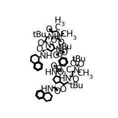 C[C@@H](C(=O)N[C@H](C(=O)C1C[C@@H](NS(=O)(=O)c2cccc(S(=O)(=O)N[C@H]3C[C@@H](C(=O)N[C@@H]4CCCc5ccccc54)N(C(=O)[C@@H](NC(=O)[C@H](C)N(C)C(=O)OC(C)(C)C)C(C)(C)C)C3)c2)C[C@H]1C(=O)N[C@@H]1CCCc2ccccc21)C(C)(C)C)N(C)C(=O)OC(C)(C)C